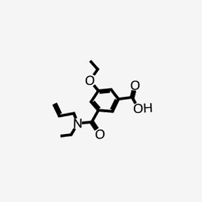 C=CCN(CC)C(=O)c1cc(OCC)cc(C(=O)O)c1